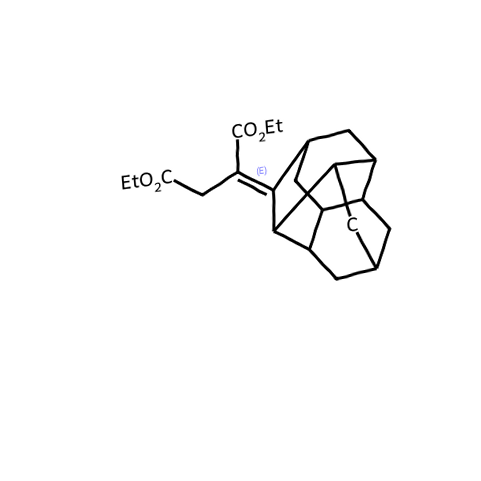 CCOC(=O)C/C(C(=O)OCC)=C1/C2CC3C4CC5CC3C1C(C5)C4C2